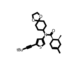 CC1=CC[C@@H](C(=O)N(c2csc(C#CC(C)(C)C)c2)C2CCC3(CC2)OCCO3)[C@@H](C)C1